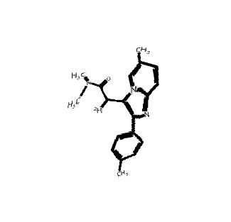 [2H]C(C(=O)N(C)C)c1c(-c2ccc(C)cc2)nc2ccc(C)cn12